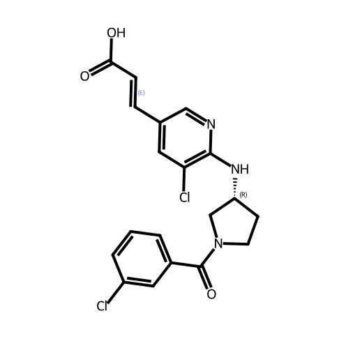 O=C(O)/C=C/c1cnc(N[C@@H]2CCN(C(=O)c3cccc(Cl)c3)C2)c(Cl)c1